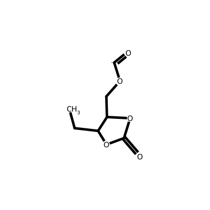 CCC1OC(=O)OC1CO[C]=O